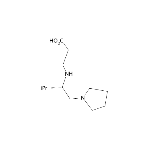 CC(C)[C@@H](CN1CCCC1)NCCC(=O)O